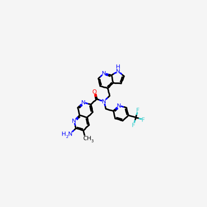 Cc1cc2cc(C(=O)N(Cc3ccc(C(F)(F)F)cn3)Cc3ccnc4[nH]ccc34)ncc2nc1N